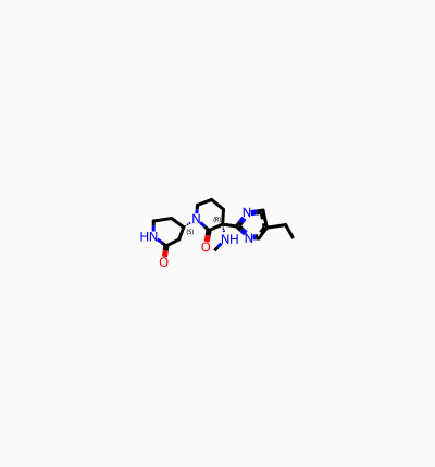 CCc1cnc([C@]2(NC)CCCN([C@H]3CCNC(=O)C3)C2=O)nc1